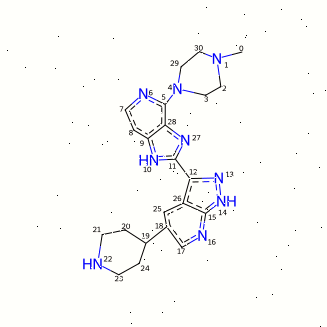 CN1CCN(c2nccc3[nH]c(-c4n[nH]c5ncc(C6CCNCC6)cc45)nc23)CC1